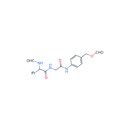 CC(C)C(NC=O)C(=O)NCC(=O)Nc1ccc(COC=O)cc1